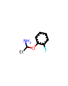 CCC(N)Oc1ccccc1F